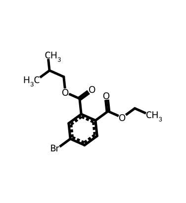 CCOC(=O)c1ccc(Br)cc1C(=O)OCC(C)C